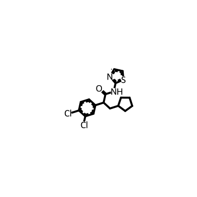 O=C(Nc1n[c]cs1)C(CC1CCCC1)c1ccc(Cl)c(Cl)c1